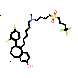 CN(CCCCCCC1=C(c2ccc(F)cc2F)CCCc2cc(O)ccc21)CCCCS(=O)(=O)CCCC(F)(F)F